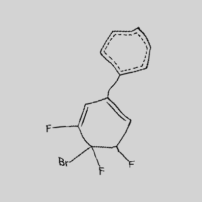 FC1=CC(c2ccccc2)=CC(F)C1(F)Br